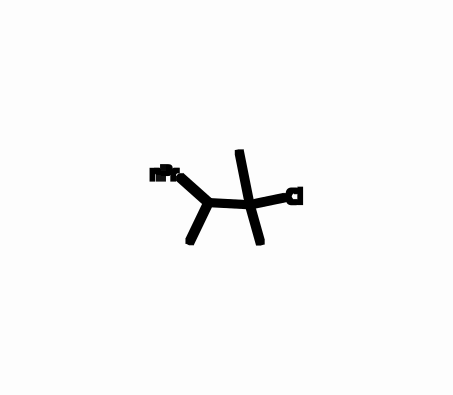 CCCC(C)C(C)(C)Cl